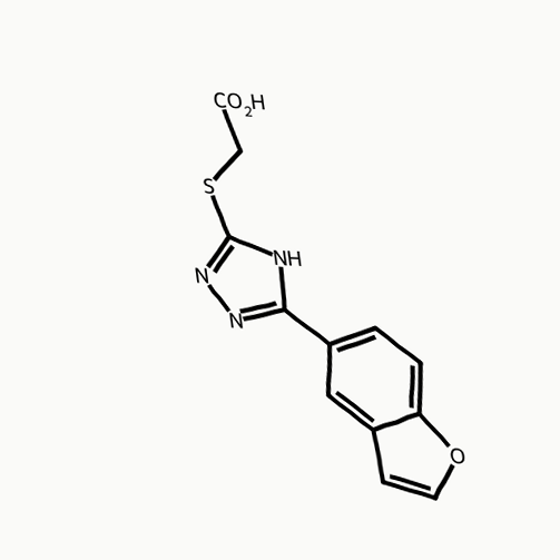 O=C(O)CSc1nnc(-c2ccc3occc3c2)[nH]1